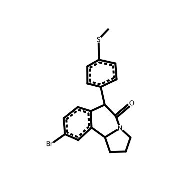 CSc1ccc(C2C(=O)N3CCCC3c3cc(Br)ccc32)cc1